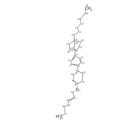 CCCCC=CCOC1CCC(c2ccc(C34CCC(CCCCCCC)(CC3)CC4)cc2)CC1